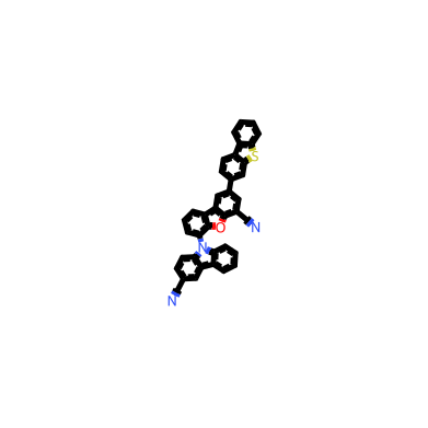 N#Cc1ccc2c(c1)c1ccccc1n2-c1cccc2c1oc1c(C#N)cc(-c3ccc4c(c3)sc3ccccc34)cc12